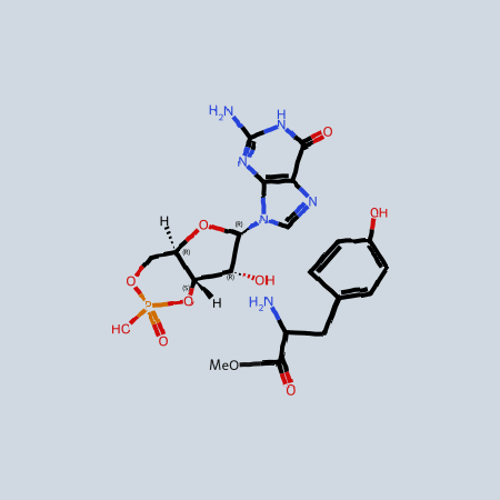 COC(=O)C(N)Cc1ccc(O)cc1.Nc1nc2c(ncn2[C@@H]2O[C@@H]3COP(=O)(O)O[C@H]3[C@H]2O)c(=O)[nH]1